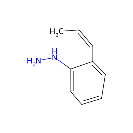 C/C=C\c1ccccc1NN